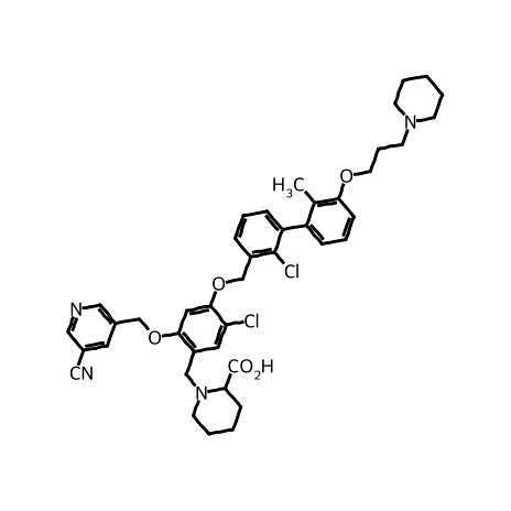 Cc1c(OCCCN2CCCCC2)cccc1-c1cccc(COc2cc(OCc3cncc(C#N)c3)c(CN3CCCCC3C(=O)O)cc2Cl)c1Cl